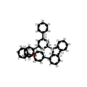 c1ccc(-c2ccc(-c3cccc4c5ccccc5n(-c5nc(-c6ccccc6)cc(-c6ccccc6)n5)c34)cc2)cc1